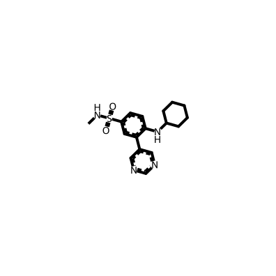 CNS(=O)(=O)c1ccc(NC2CCCCC2)c(-c2cncnc2)c1